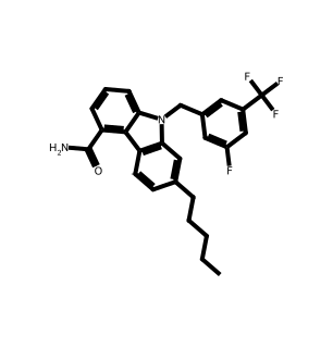 CCCCCc1c[c]c2c3c(C(N)=O)cccc3n(Cc3cc(F)cc(C(F)(F)F)c3)c2c1